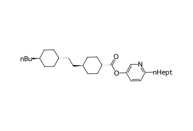 CCCCCCCc1ccc(OC(=O)[C@H]2CC[C@H](CC[C@H]3CC[C@H](CCCC)CC3)CC2)cn1